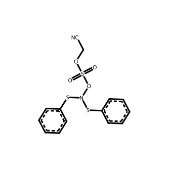 N#CCOS(=O)(=O)ON(Sc1ccccc1)Sc1ccccc1